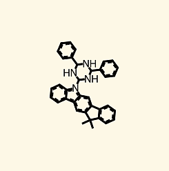 CC1(C)c2ccccc2-c2cc3c(cc21)c1ccccc1n3C1NC(c2ccccc2)NC(c2ccccc2)N1